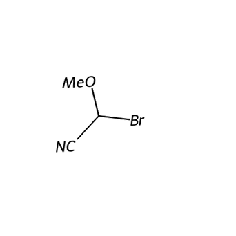 COC(Br)C#N